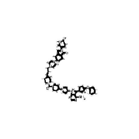 Nc1ncnc2c1c(-c1ccc(Oc3ccccc3)cc1)nn2C1CCN(C2CCN(C(=O)N3CCC(CCCN4CCN(c5ccc6c(c5)CN(C5CCC(=O)NC5=O)C6=O)CC4)CC3)CC2)CC1